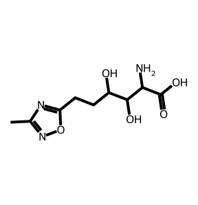 Cc1noc(CCC(O)C(O)C(N)C(=O)O)n1